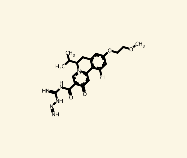 COCCOc1cc(Cl)c2c(c1)CC(C(C)C)n1cc(C(=O)NC(=N)NN=N)c(=O)cc1-2